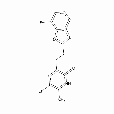 CCc1cc(CCc2nc3cccc(F)c3o2)c(=O)[nH]c1C